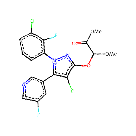 COC(=O)C(OC)Oc1nn(-c2cccc(Cl)c2F)c(-c2cncc(F)c2)c1Cl